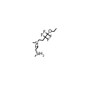 CCOC(F)(F)C(F)(F)CC[SiH](C)CC[SiH2]C